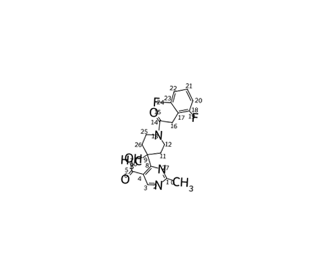 Cc1ncc(C(=O)O)c(C2(C)CCN(C(=O)Cc3c(F)cccc3F)CC2)n1